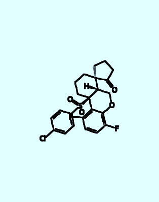 O=C1CCC[C@]12CCC[C@@]1(S(=O)(=O)c3ccc(Cl)cc3)c3c(F)ccc(F)c3OC[C@@H]21